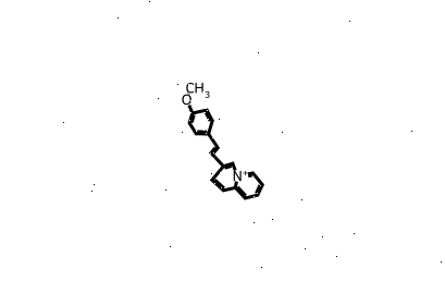 COc1ccc(C=Cc2ccc3cccc[n+]3c2)cc1